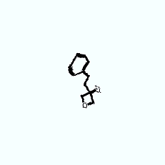 CCC1(CCc2ccccc2)COC1